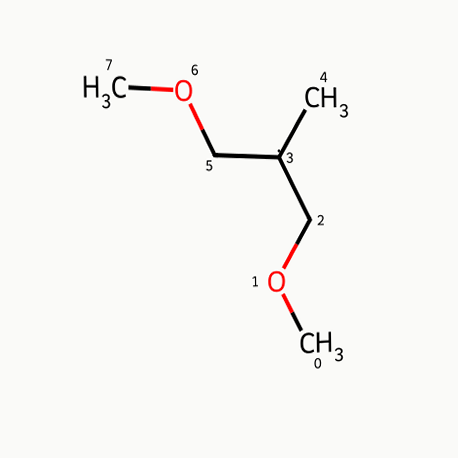 COC[C](C)COC